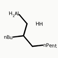 CCCCCCC([CH2][AlH2])CCCC.[HH]